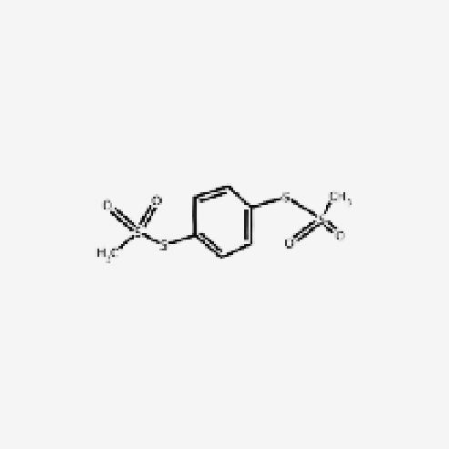 CS(=O)(=O)Sc1ccc(SS(C)(=O)=O)cc1